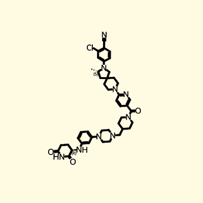 C[C@H]1CC2(CCN(c3ccc(C(=O)N4CCC(CN5CCN(c6cccc(N[C@@H]7CCC(=O)NC7=O)c6)CC5)CC4)cn3)CC2)CN1c1ccc(C#N)c(Cl)c1